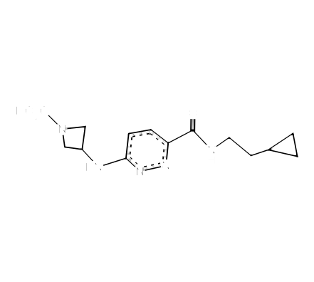 O=C(NCCC1CC1)c1ccc(NC2CN(C(=O)O)C2)nn1